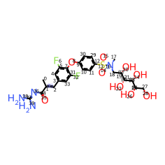 C/C(=C\c1cc(F)c(Oc2ccc(S(=O)(=O)N(C)C[C@H](O)[C@@H](O)[C@H](O)[C@H](O)CO)cc2)c(F)c1)C(=O)N=C(N)N